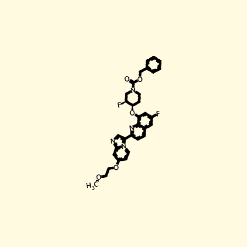 COCCOc1ccn2c(-c3ccc4cc(F)cc(O[C@@H]5CCN(C(=O)OCc6ccccc6)C[C@@H]5F)c4n3)cnc2c1